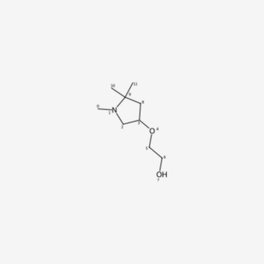 CN1CC(OCCO)CC1(C)C